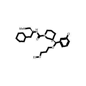 CCOCCCOC(c1cccc(Cl)c1)[C@@H]1CCCN(C(=O)N[C@H](CNC)CC2CCCCC2)C1